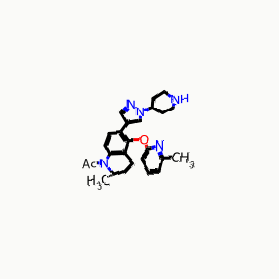 CC(=O)N1c2ccc(-c3cnn(C4CCNCC4)c3)c(Oc3cccc(C)n3)c2CC[C@@H]1C